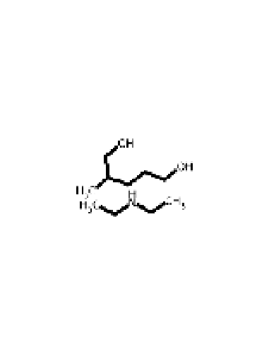 CC(CO)CCCO.CCNCC